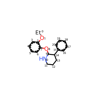 CCOc1ccccc1OC1NCCCC1c1c[c]ccc1